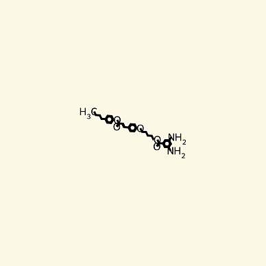 CCCCc1ccc(OC(=O)C=Cc2ccc(OCCCCCOC(=O)c3cc(N)cc(N)c3)cc2)cc1